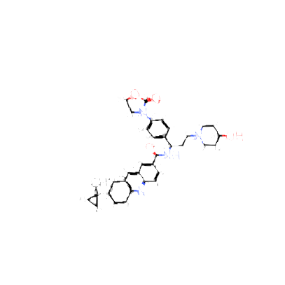 CC1([C@H]2CCc3nc4ccc(C(=O)N[C@H](CCN5CCC(O)CC5)c5ccc(N6CCOC6=O)cc5)cc4cc3C2)CC1